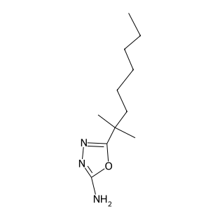 CCCCCCC(C)(C)c1nnc(N)o1